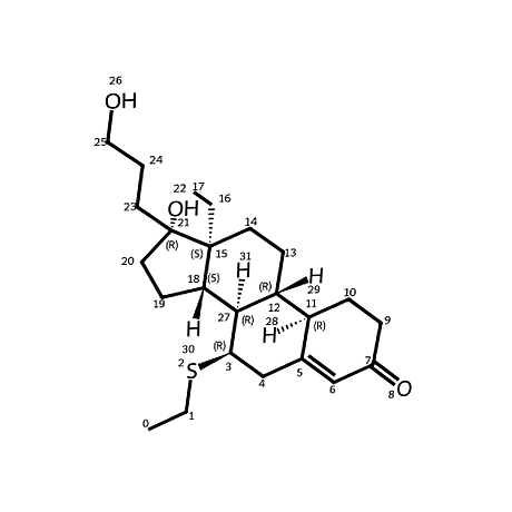 CCS[C@@H]1CC2=CC(=O)CC[C@@H]2[C@H]2CC[C@@]3(CC)[C@@H](CC[C@@]3(O)CCCO)[C@@H]21